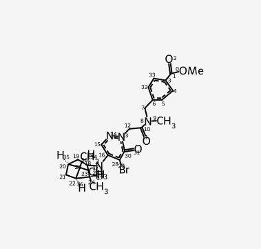 COC(=O)c1ccc(CN(C)C(=O)Cn2ncc(N[C@@H]3C[C@@H]4C[C@H]([C@H]3C)C4(C)C)c(Br)c2=O)cc1